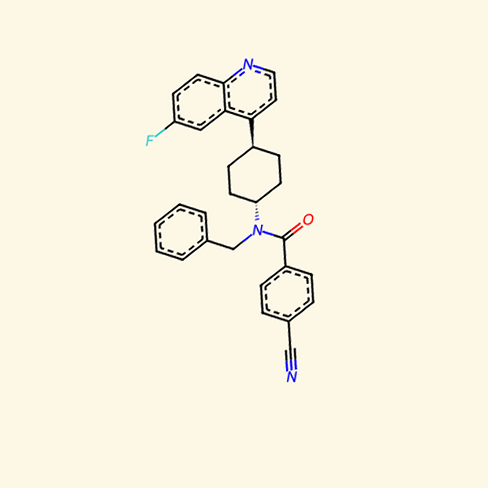 N#Cc1ccc(C(=O)N(Cc2ccccc2)[C@H]2CC[C@H](c3ccnc4ccc(F)cc43)CC2)cc1